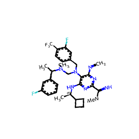 C=Nc1nc(C(=N)NC)nc(N[C@H](C)C2CCC2)c1N(Cc1ccc(C(F)(F)F)c(F)c1)CN(C)C(C)c1cccc(F)c1